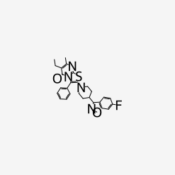 CCc1c(C)nc2sc(N3CCC(c4noc5cc(F)ccc45)CC3)c(-c3ccccc3)n2c1=O